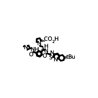 CN1CC(NC(=O)c2cccc([C@@H](CCN3CCC[C@H]3CC(=O)O)NC(=O)c3nc4cc5c(nc4s3)CC[C@H](C(C)(C)C)C5)c2)C1